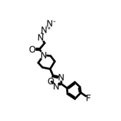 [N-]=[N+]=NCC(=O)N1CCC(c2nc(-c3ccc(F)cc3)no2)CC1